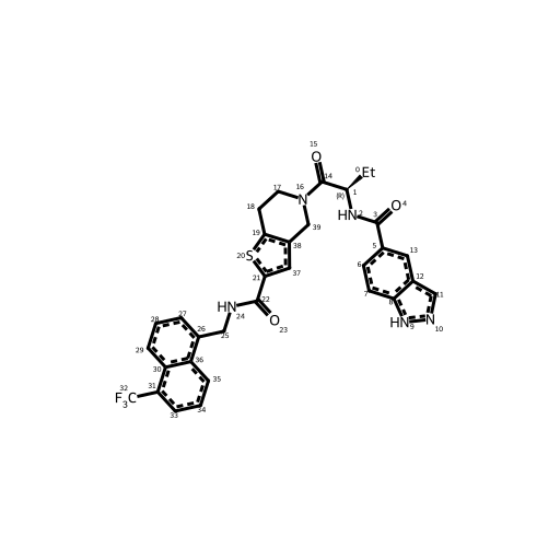 CC[C@@H](NC(=O)c1ccc2[nH]ncc2c1)C(=O)N1CCc2sc(C(=O)NCc3cccc4c(C(F)(F)F)cccc34)cc2C1